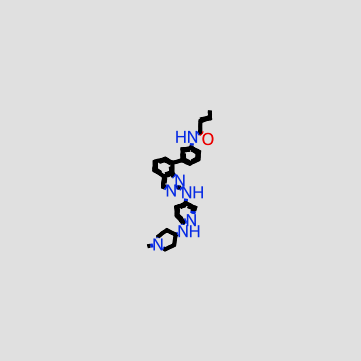 CC=CC(=O)Nc1cccc(-c2cccc3cnc(Nc4ccc(NC5CCN(C)CC5)nc4)nc23)c1